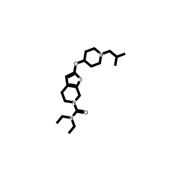 CCN(CC)C(=O)N1CCc2cc(OC3CCN(CC(C)C)CC3)sc2C1